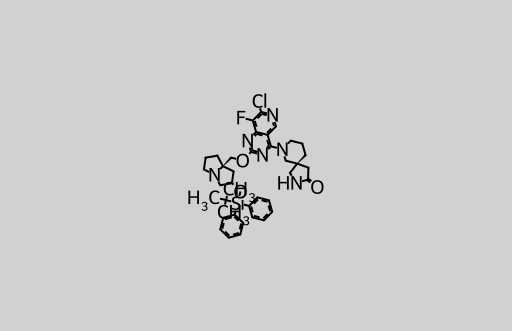 CC(C)(C)[Si](O[C@@H]1CN2CCC[C@]2(COc2nc(N3CCC[C@@]4(CNC(=O)C4)C3)c3cnc(Cl)c(F)c3n2)C1)(c1ccccc1)c1ccccc1